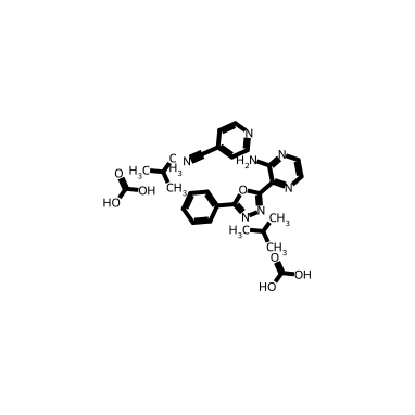 CC(C)C.CC(C)C.N#Cc1ccncc1.Nc1nccnc1-c1nnc(-c2ccccc2)o1.O=C(O)O.O=C(O)O